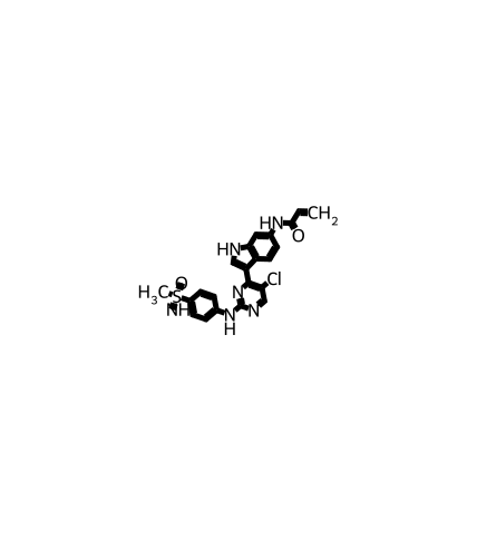 C=CC(=O)Nc1ccc2c(-c3nc(Nc4ccc(S(C)(=N)=O)cc4)ncc3Cl)c[nH]c2c1